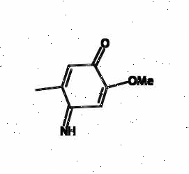 COC1=CC(=N)C(C)=CC1=O